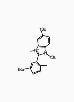 Cc1ccc(C(C)(C)C)cc1-c1n(C(C)(C)C)c2ccc(C(C)(C)C)cc2[n+]1C